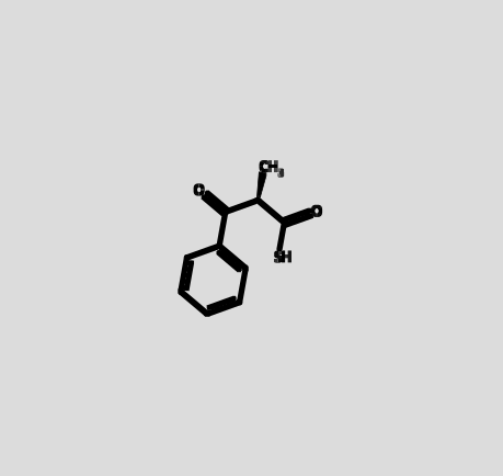 C[C@@H](C(=O)S)C(=O)c1ccccc1